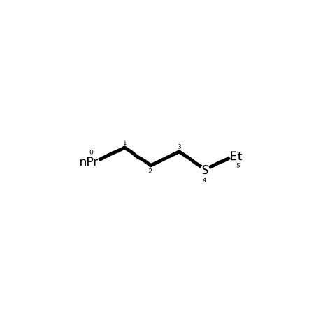 [CH2]CCCCCSCC